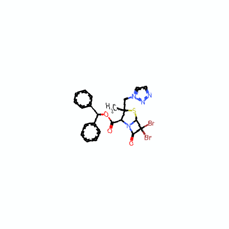 CC1(Cn2ccnn2)SC2N(C(=O)C2(Br)Br)C1C(=O)OC(c1ccccc1)c1ccccc1